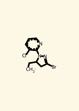 [CH2]CC1CC(Br)=NN1c1ncccc1Cl